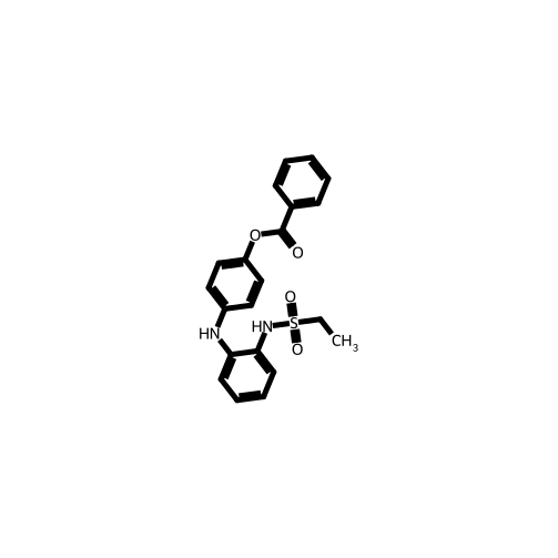 CCS(=O)(=O)Nc1ccccc1Nc1ccc(OC(=O)c2ccccc2)cc1